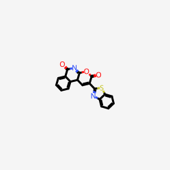 O=C1OC2=NC(=O)c3ccccc3C2C=C1c1nc2ccccc2s1